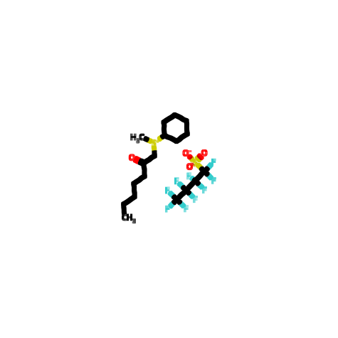 CCCCCC(=O)C[S+](C)C1CCCCC1.O=S(=O)([O-])C(F)(F)C(F)(F)C(F)(F)C(F)(F)F